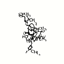 COCCN(CC12CCC(N(C)C(=O)C(=O)N(C)C)(CC1)c1nc(C(=O)NCc3ccc(F)c(C)c3)c(O)c(=O)n1C2)C(C)C